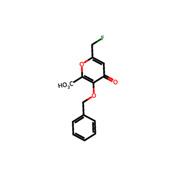 O=C(O)c1oc(CF)cc(=O)c1OCc1ccccc1